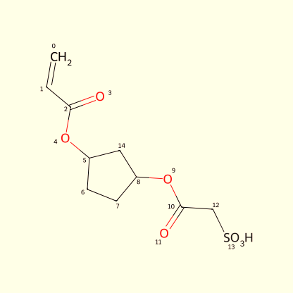 C=CC(=O)OC1CCC(OC(=O)CS(=O)(=O)O)C1